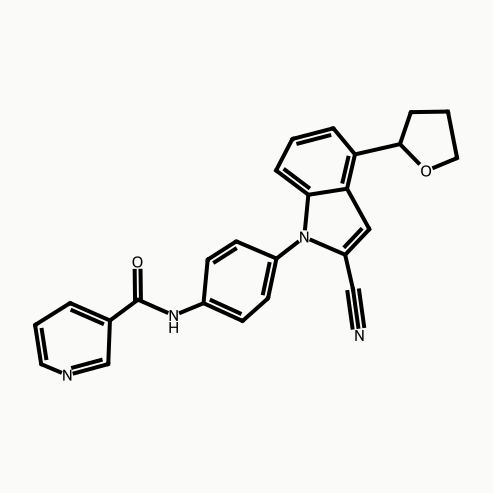 N#Cc1cc2c(C3CCCO3)cccc2n1-c1ccc(NC(=O)c2cccnc2)cc1